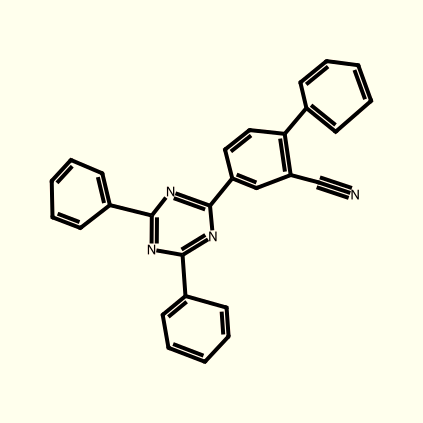 N#Cc1cc(-c2nc(-c3ccccc3)nc(-c3ccccc3)n2)ccc1-c1ccccc1